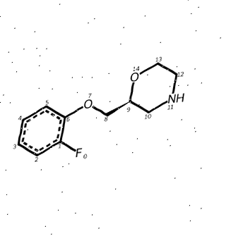 Fc1ccccc1OC[C@@H]1CNCCO1